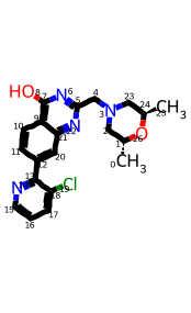 C[C@@H]1CN(Cc2nc(O)c3ccc(-c4ncccc4Cl)cc3n2)C[C@@H](C)O1